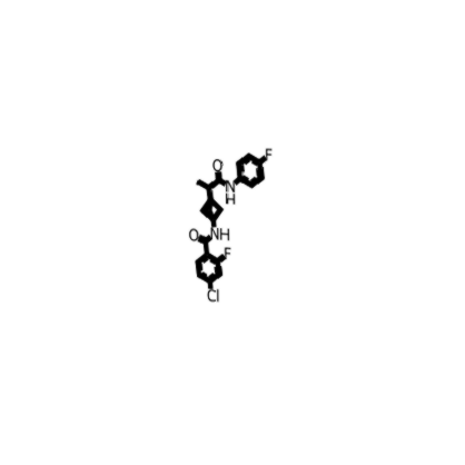 CC(C(=O)Nc1ccc(F)cc1)C12CC(NC(=O)c3ccc(Cl)cc3F)(C1)C2